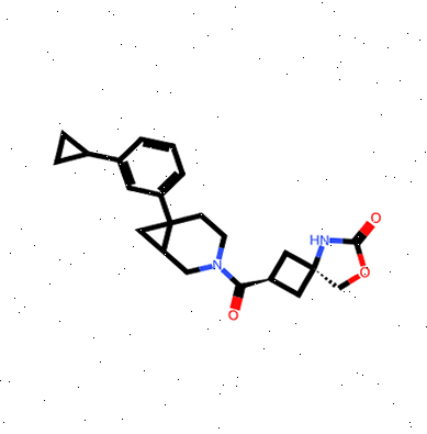 O=C1N[C@]2(CO1)C[C@H](C(=O)N1CCC3(c4cccc(C5CC5)c4)CC3C1)C2